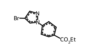 CCOC(=O)c1ccc(-n2cc(Br)cn2)cc1